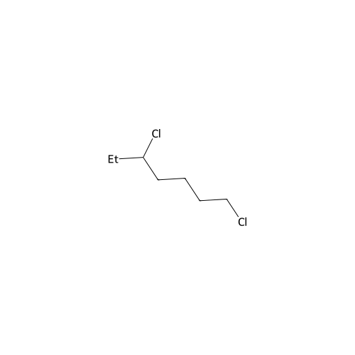 CCC(Cl)CCCCCl